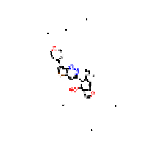 Cc1cc2occc2c(O)c1-c1cc2scc(C3CCOCC3)c2nn1